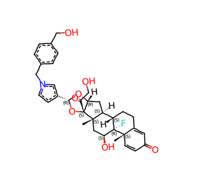 C[C@]12C=CC(=O)C=C1CC[C@H]1[C@@H]3C[C@H]4O[C@@H](c5ccn(Cc6ccc(CO)cc6)c5)O[C@@]4(C(=O)CO)[C@@]3(C)C[C@H](O)[C@@]12F